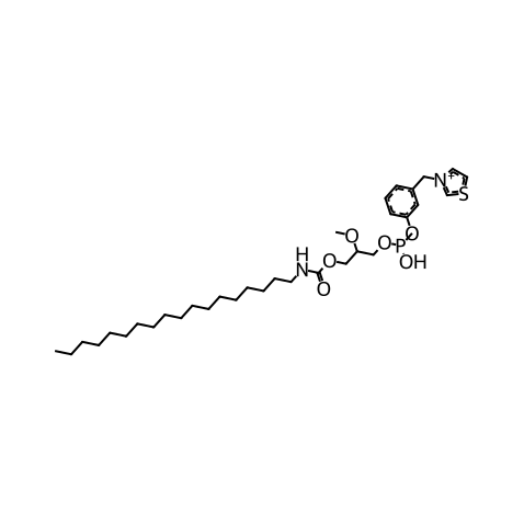 CCCCCCCCCCCCCCCCCCNC(=O)OCC(COP(O)Oc1cccc(C[n+]2ccsc2)c1)OC